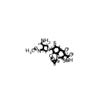 CON=C1CN(c2c(F)cc3c(=O)c4c(=O)[nH]sc4n(C4CC4)c3c2OC)CC1CN